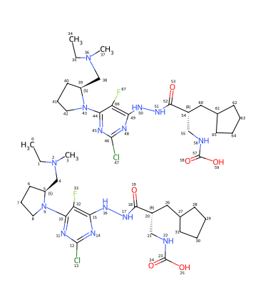 CCN(C)C[C@@H]1CCCN1c1nc(Cl)nc(NNC(=O)[C@@H](CNC(=O)O)CC2CCCC2)c1F.CCN(C)C[C@@H]1CCCN1c1nc(Cl)nc(NNC(=O)[C@@H](CNC(=O)O)CC2CCCC2)c1F